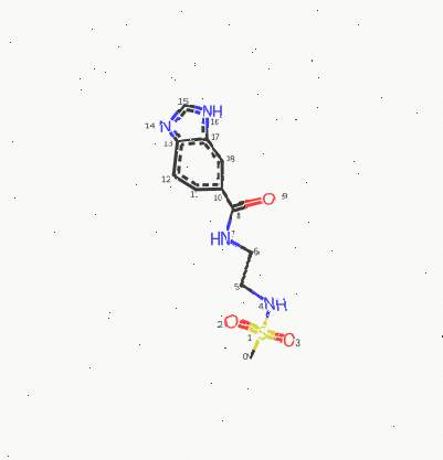 CS(=O)(=O)NCCNC(=O)c1ccc2nc[nH]c2c1